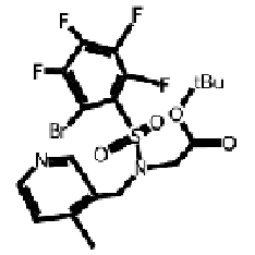 Cc1ccncc1CN(CC(=O)OC(C)(C)C)S(=O)(=O)c1c(F)c(F)c(F)c(F)c1Br